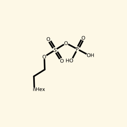 CCCCCCCCOS(=O)(=O)OP(=O)(O)O